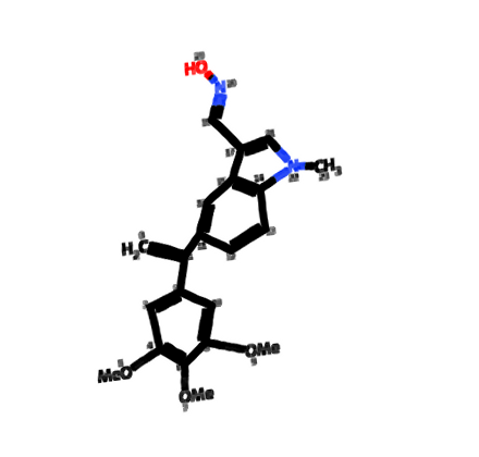 C=C(c1cc(OC)c(OC)c(OC)c1)c1ccc2c(c1)c(/C=N/O)cn2C